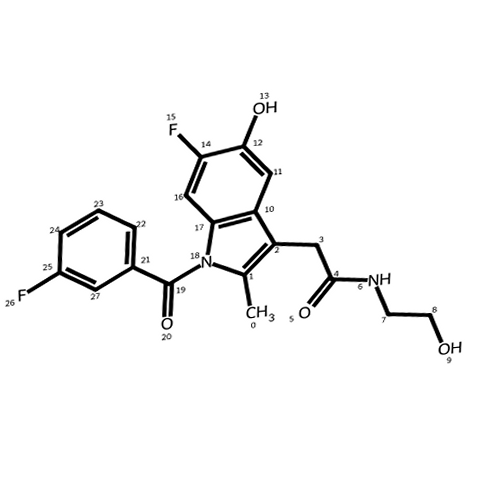 Cc1c(CC(=O)NCCO)c2cc(O)c(F)cc2n1C(=O)c1cccc(F)c1